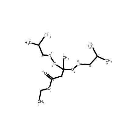 CCOC(=O)CC(C)(OOCC(C)C)OOCC(C)C